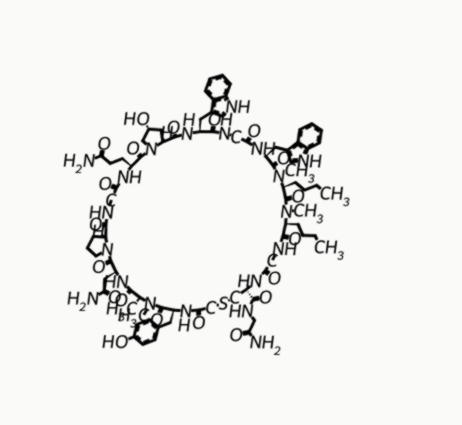 CCCC[C@H]1C(=O)N(C)[C@@H](CCCC)C(=O)NCC(=O)N[C@H](C(=O)NCC(N)=O)CSCC(=O)N[C@@H](Cc2ccc(O)cc2)C(=O)N(C)[C@@H](C)C(=O)N[C@@H](CC(N)=O)C(=O)N2CCC[C@H]2C(=O)NCC(=O)N[C@@H](CCC(N)=O)C(=O)N2C[C@H](O)C[C@H]2C(=O)N[C@@H](Cc2c[nH]c3ccccc23)C(=O)NCC(=O)N[C@@H](Cc2c[nH]c3ccccc23)C(=O)N1C